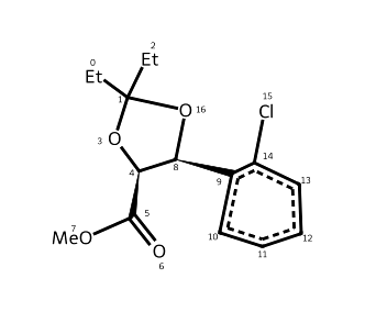 CCC1(CC)O[C@H](C(=O)OC)[C@H](c2ccccc2Cl)O1